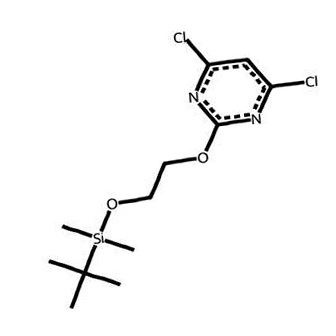 CC(C)(C)[Si](C)(C)OCCOc1nc(Cl)cc(Cl)n1